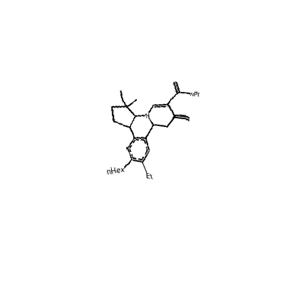 C=C(CCC)C1=CN2C(CC1=C)c1cc(CC)c(CCCCCC)cc1C1CCC(C)(C)C12